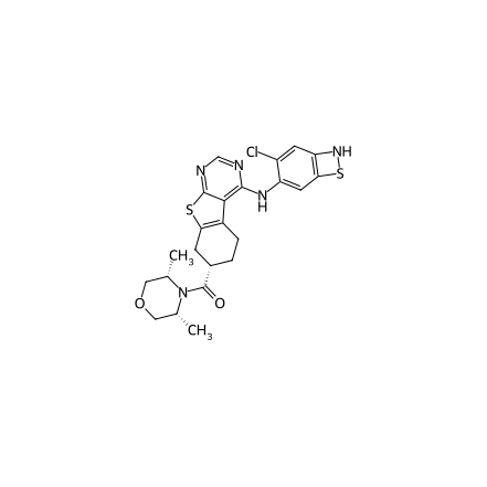 C[C@@H]1COC[C@H](C)N1C(=O)[C@H]1CCc2c(sc3ncnc(Nc4cc5s[nH]c5cc4Cl)c23)C1